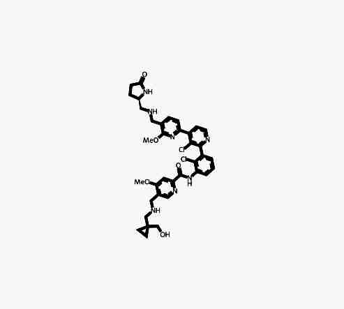 COc1cc(C(=O)Nc2cccc(-c3nccc(-c4ccc(CNC[C@H]5CCC(=O)N5)c(OC)n4)c3Cl)c2Cl)ncc1CNCC1(CO)CC1